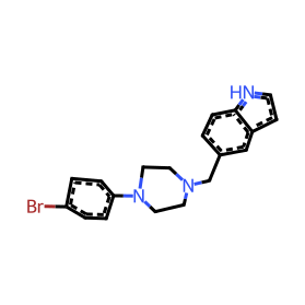 Brc1ccc(N2CCN(Cc3ccc4[nH]ccc4c3)CC2)cc1